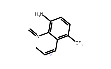 C=Nc1c(N)ccc(C(F)(F)F)c1/C=C\C